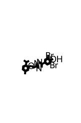 Cc1ccc(C(C)C)c(OCc2ncc(-c3cc(Br)c(O)c(Br)c3)nn2)c1